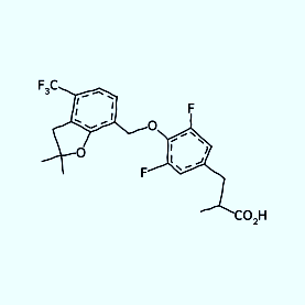 CC(Cc1cc(F)c(OCc2ccc(C(F)(F)F)c3c2OC(C)(C)C3)c(F)c1)C(=O)O